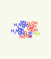 Nc1ncnc2c1ncn2[C@@H]1O[C@H](CNC(CCS)C(=O)O)[C@@H](O)[C@H]1O.Nc1ncnc2c1ncn2[C@@H]1O[C@H](CO)[C@@H](O)[C@H]1O